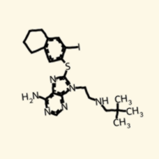 CC(C)(C)CNCCn1c(Sc2cc3c(cc2I)CCCC3)nc2c(N)ncnc21